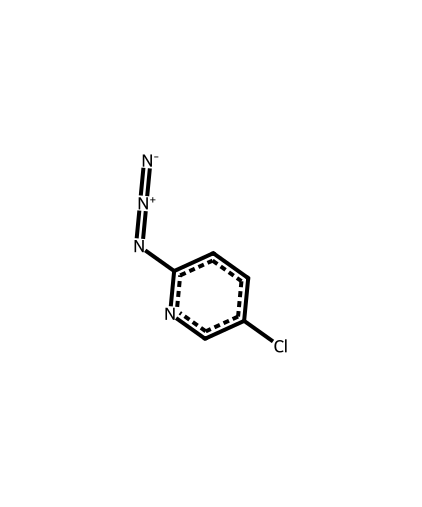 [N-]=[N+]=Nc1ccc(Cl)cn1